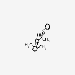 Cc1cccc(C)c1-n1ccc(C(C)NOCc2ccccc2)c1